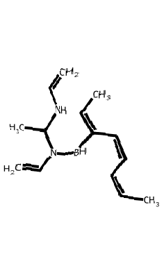 C=CNC(C)N(BC(/C=C\C=C/C)=C/C)C=C